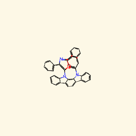 c1ccc(-c2nc(-c3ccccc3)c(-n3c4ccccc4c4ccc5c6ccccc6n(-c6ccccc6)c5c43)o2)cc1